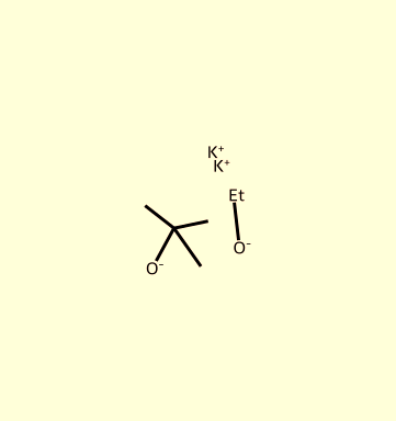 CC(C)(C)[O-].CC[O-].[K+].[K+]